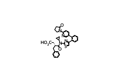 O=C(O)C[C@@H](Cc1ccccc1)C(=O)N(c1nc(-c2ccccc2-c2ccc(N3CCCC3=O)nc2)cs1)C1CC1